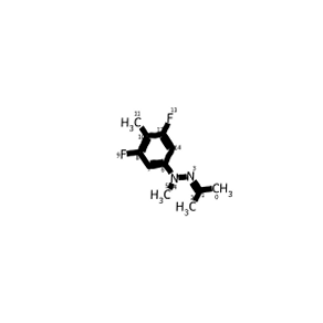 CC(C)=NN(C)c1cc(F)c(C)c(F)c1